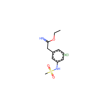 CCOC(=N)Cc1cccc(NS(C)(=O)=O)c1.Cl